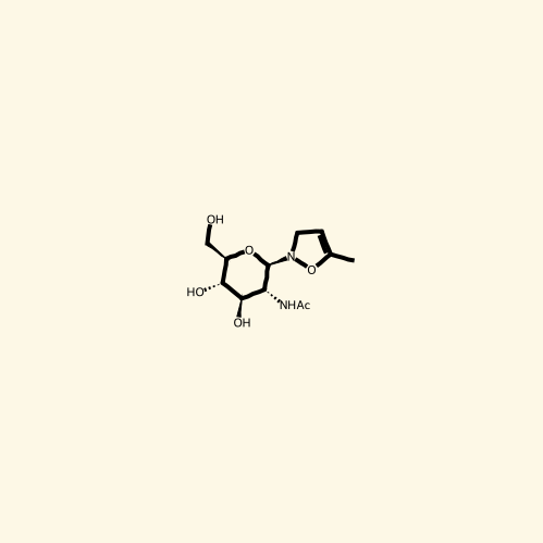 CC(=O)N[C@@H]1[C@@H](O)[C@H](O)[C@@H](CO)O[C@H]1N1CC=C(C)O1